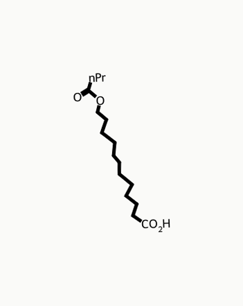 CCCC(=O)OCCCCCCCCCCCC(=O)O